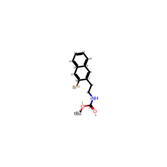 CC(C)(C)OC(=O)NCCc1cc2ccccc2cc1Br